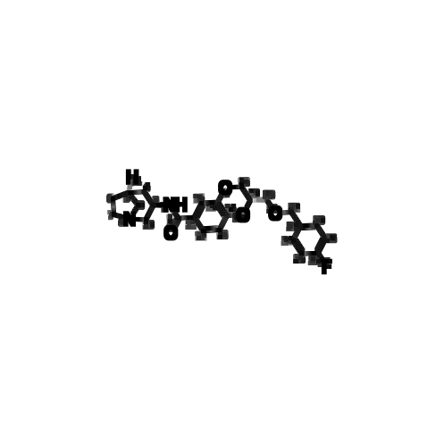 O=C(N[C@@H]1C[C@@H]2CCN(C2)C1)c1ccc2c(c1)OC[C@H](COCc1ccc(F)cc1)O2